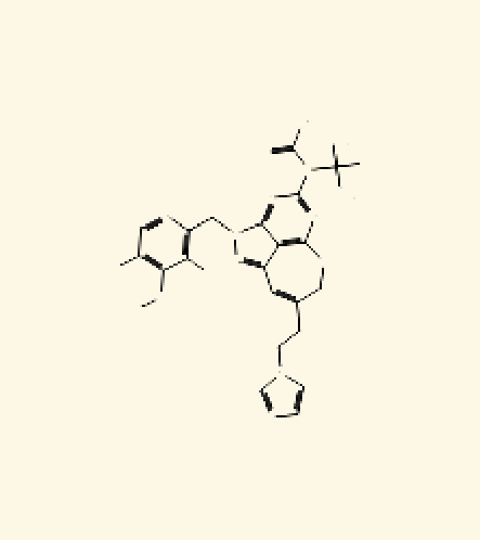 COc1c(C)cnc(Cn2nc3c4c(nc(N(C(=O)O)C(C)(C)C)nc42)SCC(CCn2ccnc2)=C3)c1C